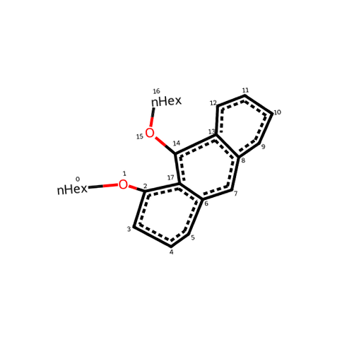 CCCCCCOc1cccc2cc3ccccc3c(OCCCCCC)c12